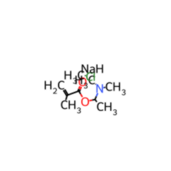 C=C(C)C(=O)OC(C)N(C)C.CCl.[NaH]